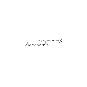 Cc1cc(CCCCCC(C)(C)C)c(C)c(C)c1CCCCCC1(C)CC1